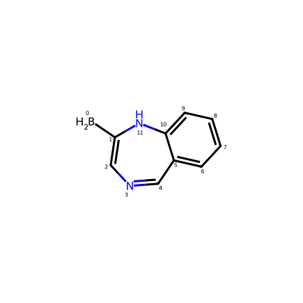 BC1=CN=Cc2ccccc2N1